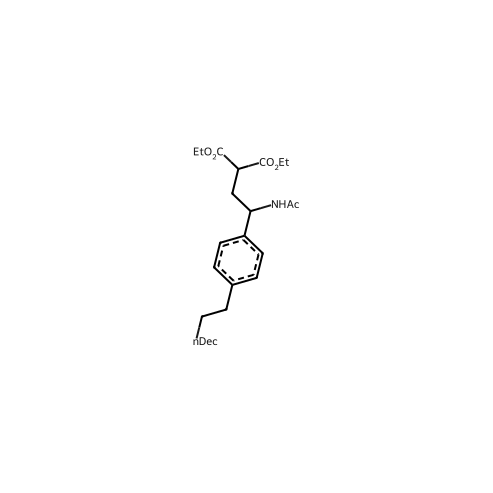 CCCCCCCCCCCCc1ccc(C(CC(C(=O)OCC)C(=O)OCC)NC(C)=O)cc1